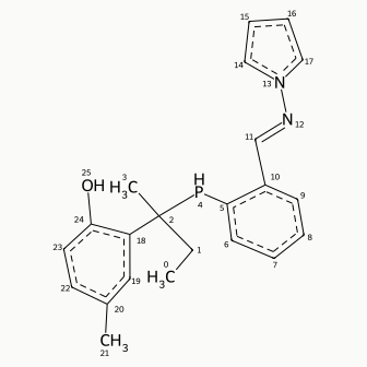 CCC(C)(Pc1ccccc1/C=N/n1cccc1)c1cc(C)ccc1O